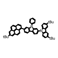 CC(C)(C)c1cc2ccc3ccc(-c4ccc5c6ccc(-n7c8ccc(C(C)(C)C)cc8c8cc(C(C)(C)C)ccc87)cc6n(-c6ccccc6)c5c4)c4ccc(c1)c2c34